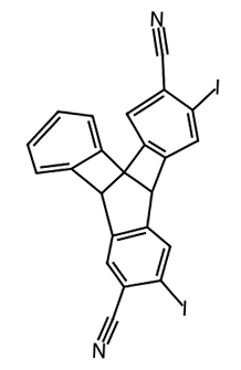 N#Cc1cc2c(cc1I)C1c3cc(I)c(C#N)cc3C13c1ccccc1C23